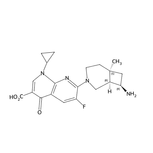 C[C@@]12CCN(c3nc4c(cc3F)c(=O)c(C(=O)O)cn4C3CC3)C[C@@H]1[C@H](N)C2